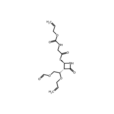 C=CCOC(=O)NCC(=O)S[C@H]1NC(=O)[C@@H]1C(COC=O)OCC=C